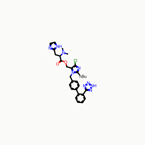 CCCCc1nc(Cl)c(COC(=O)C(Cc2ncc[nH]2)N(C)C)n1Cc1ccc(-c2ccccc2-c2nn[nH]n2)cc1